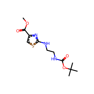 COC(=O)c1csc(NCCNC(=O)OC(C)(C)C)n1